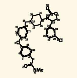 CNC(=O)Cc1ccc(Oc2ccc(CN3CCC(N4C(=O)OCC4c4cccc(Cl)c4)CC3)cn2)cc1